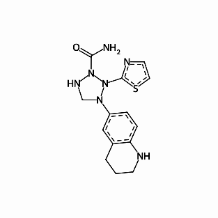 NC(=O)N1NCN(c2ccc3c(c2)CCCN3)N1c1nccs1